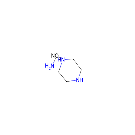 C1CNCCN1.N[N+](=O)[O-]